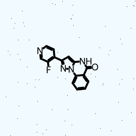 O=c1[nH]c2cc(-c3ccncc3F)nn2c2ccccc12